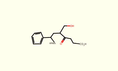 CCCCCCC(CC(CO)C(=O)CCC(=O)O)c1ccccc1